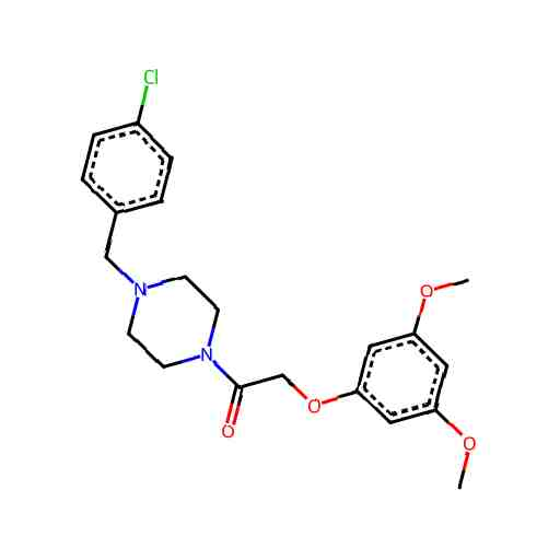 COc1cc(OC)cc(OCC(=O)N2CCN(Cc3ccc(Cl)cc3)CC2)c1